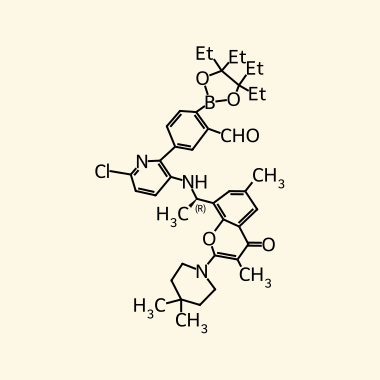 CCC1(CC)OB(c2ccc(-c3nc(Cl)ccc3N[C@H](C)c3cc(C)cc4c(=O)c(C)c(N5CCC(C)(C)CC5)oc34)cc2C=O)OC1(CC)CC